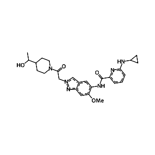 COc1cc2nn(CC(=O)N3CCC(C(C)O)CC3)cc2cc1NC(=O)c1cccc(NC2CC2)n1